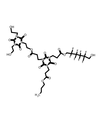 CCCCOC(=O)CCn1c(=O)n(CCC(=O)OCCn2c(=O)n(CCO)c(=O)n(CCO)c2=O)c(=O)n(CCC(=O)OCC(F)(F)C(F)(F)C(F)(F)C(F)(F)CO)c1=O